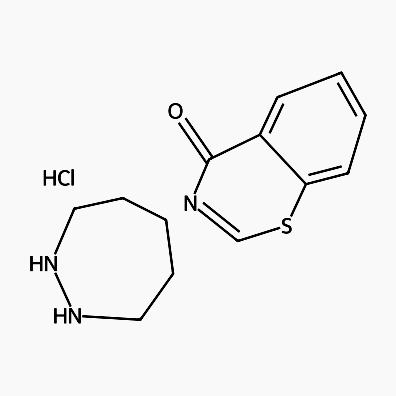 C1CCNNCC1.Cl.O=c1ncsc2ccccc12